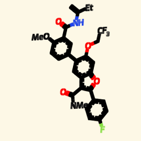 C=C(CC)NC(=O)c1cc(-c2cc3c(C(=O)NC)c(-c4ccc(F)cc4)oc3cc2OCC(F)(F)F)ccc1OC